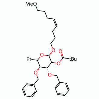 CCC1O[C@@H](OCCC/C=C\CCCOC)C(OC(=O)C(C)(C)C)[C@H](OCc2ccccc2)[C@H]1OCc1ccccc1